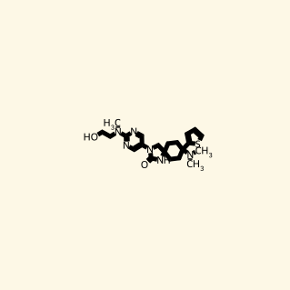 CN(CCO)c1ncc(N2CC3(CCC(c4cccs4)(N(C)C)CC3)NC2=O)cn1